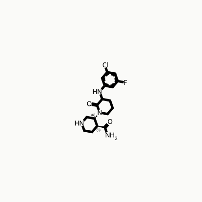 NC(=O)[C@H]1CCNC[C@@H]1N1CCCC(Nc2cc(F)cc(Cl)c2)C1=O